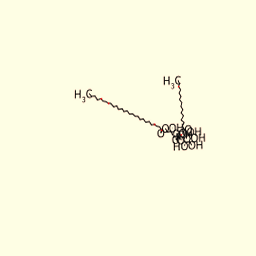 CCCCCCCCCCCCCCCCCCCCCCCCCCCC(=O)OC[C@H](O)COP(=O)(O)O[C@@H]1C(OC(=O)CCCCCCCCCCCCCCC)C(O)[C@@H](O)C(O)[C@H]1O